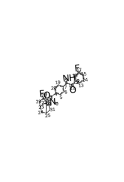 CN(C(=O)c1ccc(C(N)C(=O)c2cccc(F)c2)cc1)C12CC3CC(CC(F)(C3)C1)C2